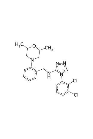 CC1CN(c2ccccc2CNc2nnnn2-c2cccc(Cl)c2Cl)CC(C)O1